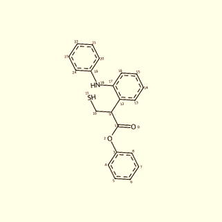 O=C(Oc1ccccc1)C(CS)c1ccccc1Nc1ccccc1